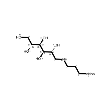 CCCCCCCCCCCCNC[C@@H](O)[C@@H](O)[C@H](O)[C@H](O)CO